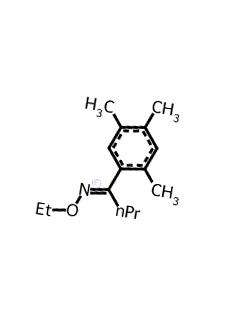 CCC/C(=N\OCC)c1cc(C)c(C)cc1C